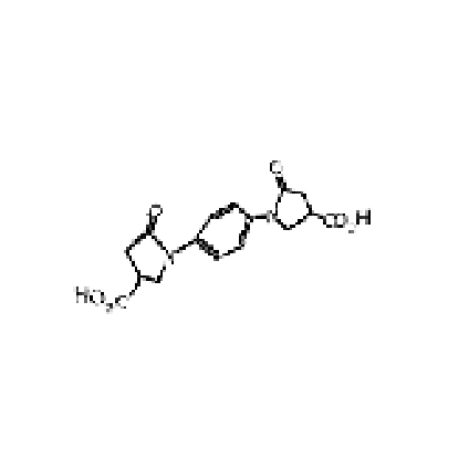 O=C(O)C1CC(=O)N(c2ccc(N3CC(C(=O)O)CC3=O)cc2)C1